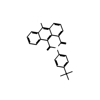 CC(C)(C)c1ccc(N2C(=O)c3cccc4c(Br)c5ccccc5c(c34)C2=O)cc1